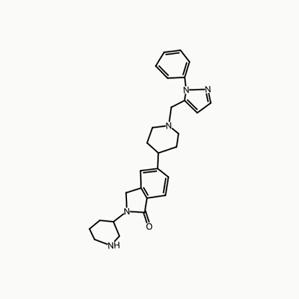 O=C1c2ccc(C3CCN(Cc4ccnn4-c4ccccc4)CC3)cc2CN1C1CCCNC1